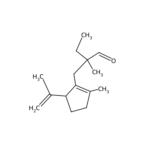 C=C(C)C1CCC(C)=C1CC(C)(C=O)CC